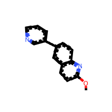 COc1ccc2cc(-c3cccnc3)ccc2n1